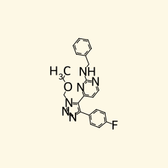 CCOCn1nnc(-c2ccc(F)cc2)c1-c1ccnc(NCc2ccccc2)n1